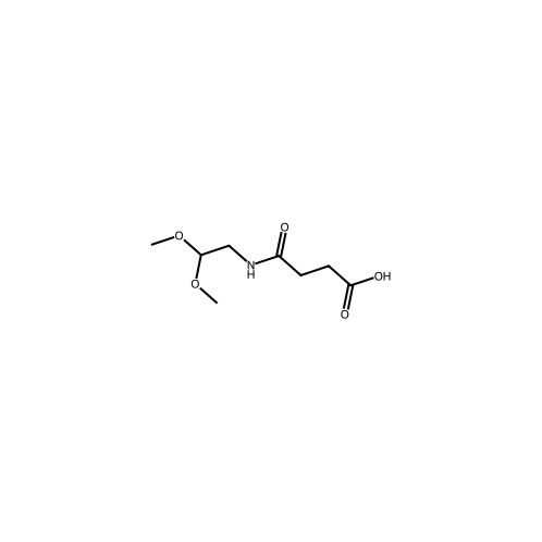 COC(CNC(=O)CCC(=O)O)OC